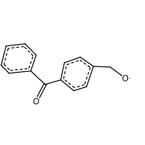 [O]Cc1ccc(C(=O)c2ccccc2)cc1